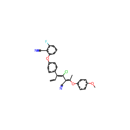 C=C/C(=C(Cl)\C(C#N)=C(/C)Oc1ccc(OC)cc1)c1ccc(Oc2cccc(F)c2C#N)cc1